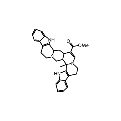 COC(=O)C1=CN2CCc3c([nH]c4ccccc34)C2(C)C2CN3CCc4c([nH]c5ccccc45)C3CC12